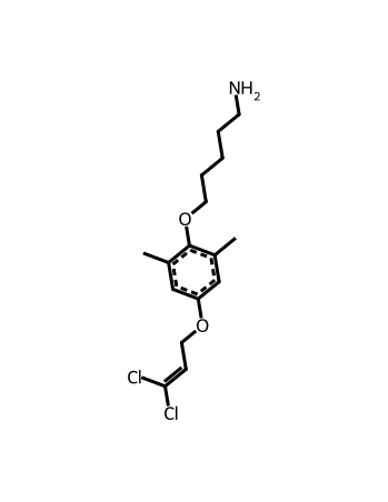 Cc1cc(OCC=C(Cl)Cl)cc(C)c1OCCCCCN